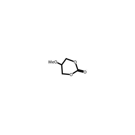 COC1COC(=O)OC1